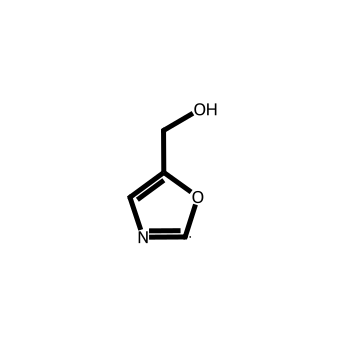 OCc1cn[c]o1